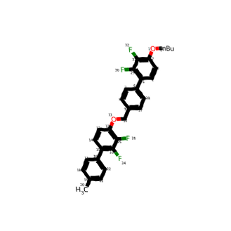 CCCCOc1ccc(-c2ccc(COc3ccc(-c4ccc(C)cc4)c(F)c3F)cc2)c(F)c1F